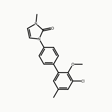 COc1c(Cl)cc(C)cc1-c1ccc(-n2ccn(C)c2=O)cc1